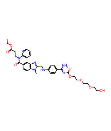 CCOC(=O)CCN(C(=O)c1ccc2c(c1)nc(CNc1ccc(/C(N)=N/C(=O)OCCOCCOCCO)cc1)n2C)c1ccccn1